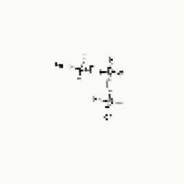 C=C.F[B-](F)(F)F.F[B-](F)(F)F.F[B-](F)(F)F.[K+]